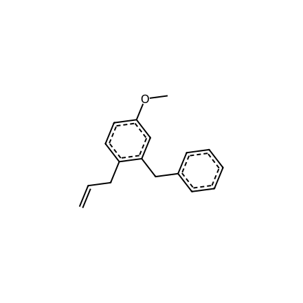 C=CCc1ccc(OC)cc1Cc1ccccc1